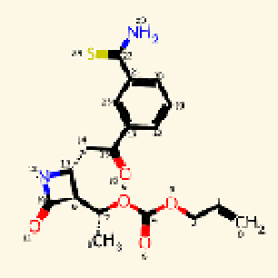 C=CCOC(=O)O[C@H](C)[C@H]1C(=O)[N][C@@H]1CC(=O)c1cccc(C(N)=S)c1